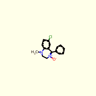 CN1CC[N+]([O-])=C(c2ccccc2)c2cc(Cl)ccc21